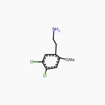 COc1cc(Cl)c(Cl)cc1[CH]CN